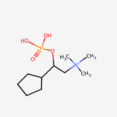 C[N+](C)(C)CC(OP(=O)(O)O)C1CCCC1